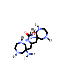 CCN1CCN(CC)CC(CC(CC2(N(CC)CC)CN(CC)CCN(CC)C2)NC(=O)OC(C)(C)C)(N(CC)CC)C1